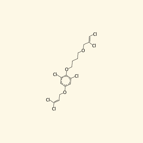 ClC=C(Cl)COCCCCOc1c(Cl)cc(OCC=C(Cl)Cl)cc1Cl